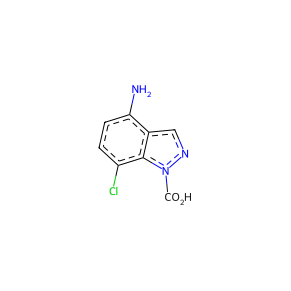 Nc1ccc(Cl)c2c1cnn2C(=O)O